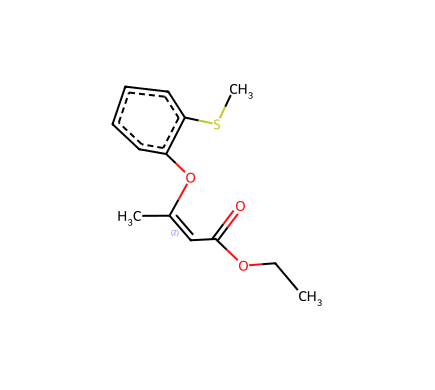 CCOC(=O)/C=C(/C)Oc1ccccc1SC